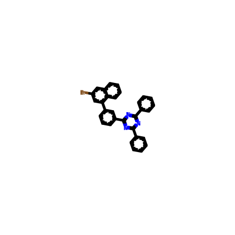 Brc1cc(-c2cccc(-c3nc(-c4ccccc4)nc(-c4ccccc4)n3)c2)c2ccccc2c1